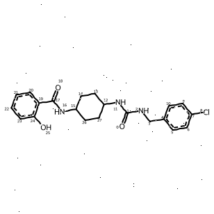 O=C(NCc1ccc(Cl)cc1)NC1CCC(NC(=O)c2ccccc2O)CC1